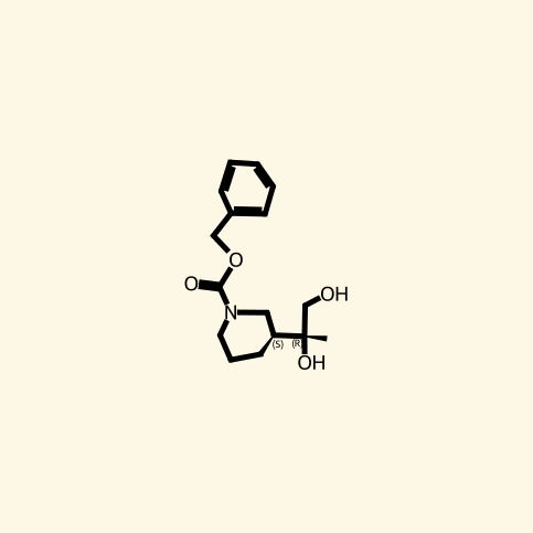 C[C@](O)(CO)[C@H]1CCCN(C(=O)OCc2ccccc2)C1